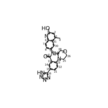 Cc1cc(O)nc2ccc(NC(=O)c3cc(-c4nnn[nH]4)ccc3N3CCOCC3)cc12